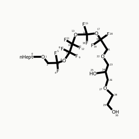 CCCCCCCOCC(F)(F)OC(F)(F)C(F)(F)OC(F)(F)OC(F)(F)COCC(O)COCCO